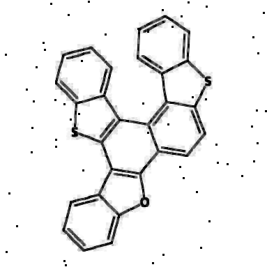 c1ccc2c(c1)oc1c3ccc4sc5ccccc5c4c3c3c4ccccc4sc3c21